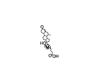 C[C@@H]1CC2=CC(=O)CCC2C2CC[C@@]3(C)C(CC[C@@]3(O)c3cn(CCCC(=O)O)nn3)C21